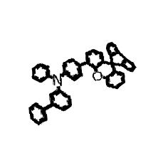 c1ccc(-c2cccc(N(c3ccccc3)c3ccc(-c4cccc5c4Oc4ccccc4C54c5ccccc5-c5ccccc54)cc3)c2)cc1